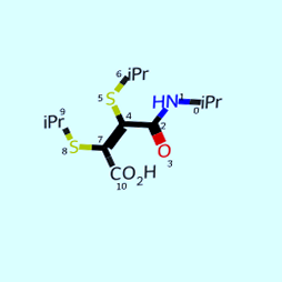 CC(C)NC(=O)/C(SC(C)C)=C(/SC(C)C)C(=O)O